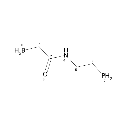 BCC(=O)NCCP